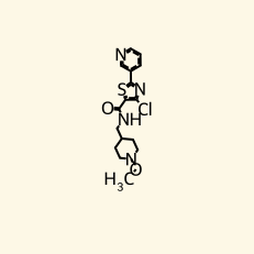 CON1CCC(CNC(=O)c2sc(-c3cccnc3)nc2Cl)CC1